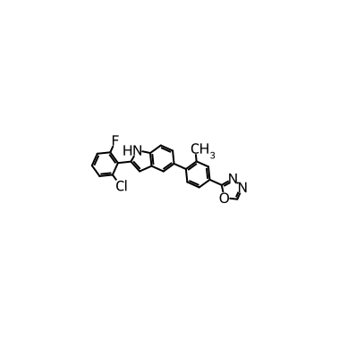 Cc1cc(-c2nnco2)ccc1-c1ccc2[nH]c(-c3c(F)cccc3Cl)cc2c1